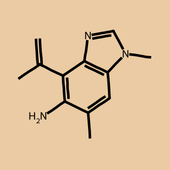 C=C(C)c1c(N)c(C)cc2c1ncn2C